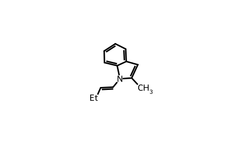 CCC=Cn1c(C)cc2ccccc21